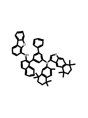 Cc1cc2c(cc1N(c1cc(-c3ccccc3)cc(-c3c(Nc4cccc5c4oc4ccccc45)ccc4ccccc34)c1)c1csc3cc4c(cc13)C(C)(C)CCC4(C)C)C(C)(C)CCC2(C)C